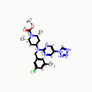 CC[C@@H]1CC(N(Cc2cc(Cl)cc(C(F)(F)F)c2)c2ncc(-n3cnnn3)cn2)C[C@H](CC)N1C(=O)OC(C)C